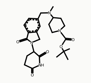 CN(Cc1ccc2c(c1)CN(C1CCC(=O)NC1=O)C2=O)C1CCN(C(=O)OC(C)(C)C)CC1